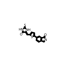 O=C1NC(=S)N/C1=C\c1ccc(-c2ccc3c(c2)C(=O)N=C3)s1